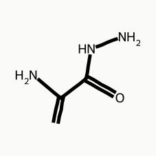 C=C(N)C(=O)NN